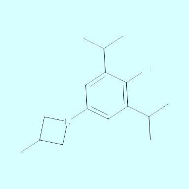 CC1CN(c2cc(C(C)C)c(O)c(C(C)C)c2)C1